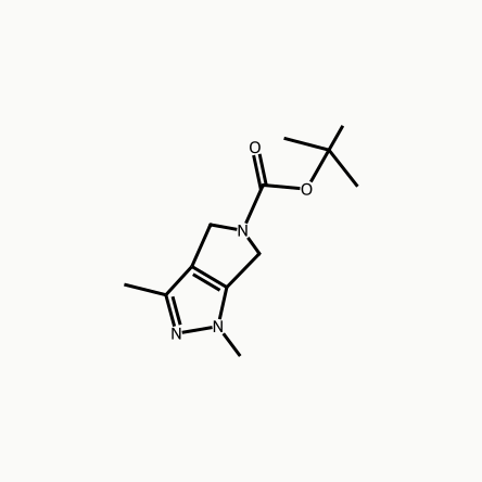 Cc1nn(C)c2c1CN(C(=O)OC(C)(C)C)C2